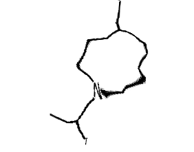 CC(I)N1CCCC(S)CC1